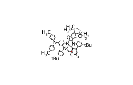 Cc1ccc(N(C2=CC3=C(CC2)B2c4oc5cc6c(cc5c4N(c4ccc(C(C)(C)C)cc4-c4ccccc4)c4cc(C)cc(c42)N3c2ccc(C(C)(C)C)cc2)C(C)(C)CCC6(C)C)c2ccc(C)cc2)cc1